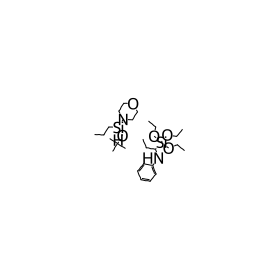 CCC[SiH](OC(C)(C)C)N1CCOCC1.CCO[Si](OCC)(OCC)C(CC)Nc1ccccc1